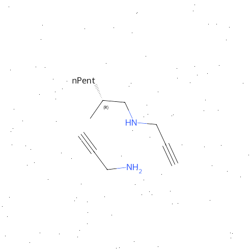 C#CCN.C#CCNC[C@H](C)CCCCC